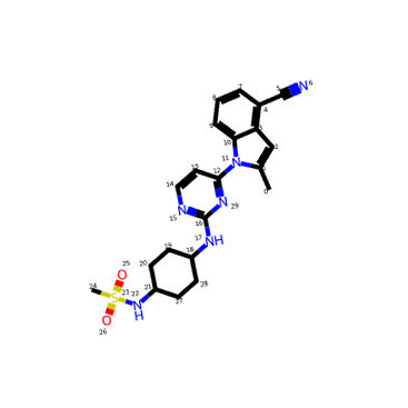 Cc1cc2c(C#N)cccc2n1-c1ccnc(NC2CCC(NS(C)(=O)=O)CC2)n1